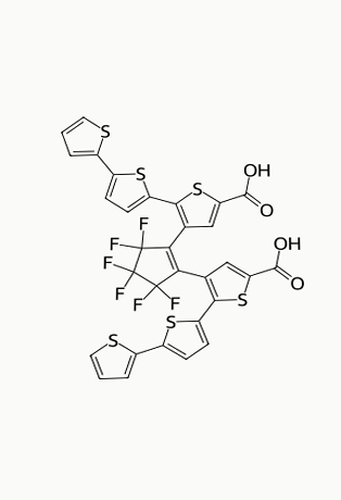 O=C(O)c1cc(C2=C(c3cc(C(=O)O)sc3-c3ccc(-c4cccs4)s3)C(F)(F)C(F)(F)C2(F)F)c(-c2ccc(-c3cccs3)s2)s1